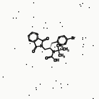 CC(C)(C)N(C(=O)O)[C@@H](Cc1ccc(Br)cc1)CN1C(=O)c2ccccc2C1=O